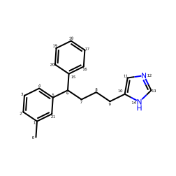 Cc1cccc(C(CCCc2cnc[nH]2)c2ccccc2)c1